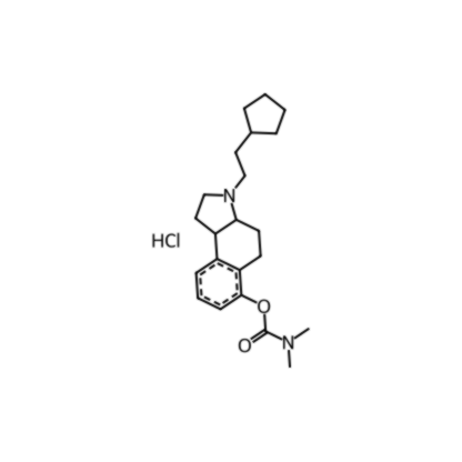 CN(C)C(=O)Oc1cccc2c1CCC1C2CCN1CCC1CCCC1.Cl